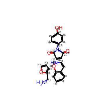 C1=Cc2ccccc2ON1.NCc1ccco1.O=C1C=CC(=O)N1c1ccc(O)cc1